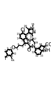 Cc1cc(OCCCc2c3n(c4c(-c5c(C)nn(C)c5C)c(Cl)ccc24)C(C)CN(c2cccc4[nH]c(C(=O)O)cc24)C3=O)cc(C)c1Cl